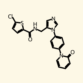 O=C(NCc1cncn1-c1ccc(-n2ccccc2=O)cc1)c1ccc(Cl)s1